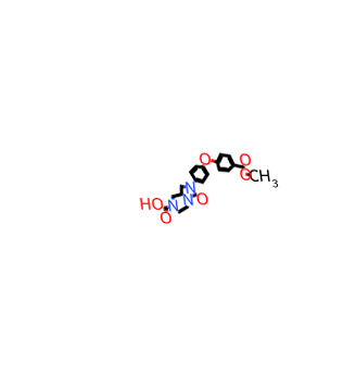 COC(=O)c1ccc(Oc2ccc(N3CC4CN(C(=O)O)CCN4C3=O)cc2)cc1